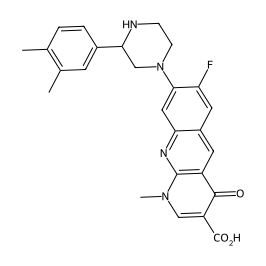 Cc1ccc(C2CN(c3cc4nc5c(cc4cc3F)c(=O)c(C(=O)O)cn5C)CCN2)cc1C